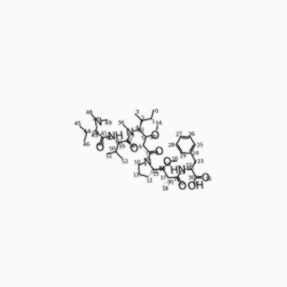 CCC(C)[C@@H](C(CC(=O)N1CCC[C@H]1[C@H](OC)[C@@H](C)C(=O)N[C@@H](Cc1ccccc1)C(=O)O)OC)N(C)C(=O)[C@@H](NC(=O)[C@H](C(C)C)N(C)C)C(C)C